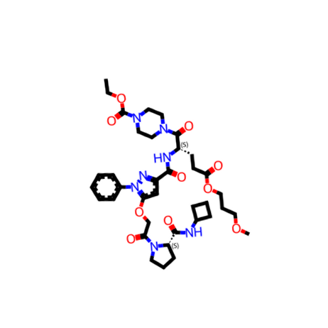 CCOC(=O)N1CCN(C(=O)[C@H](CCC(=O)OCCCOC)NC(=O)c2cc(OCC(=O)N3CCC[C@H]3C(=O)NC3CCC3)n(-c3ccccc3)n2)CC1